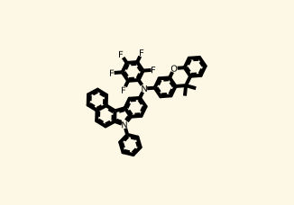 CC1(C)c2ccccc2Oc2cc(N(c3ccc4c(c3)c3c5ccccc5ccc3n4-c3ccccc3)c3c(F)c(F)c(F)c(F)c3F)ccc21